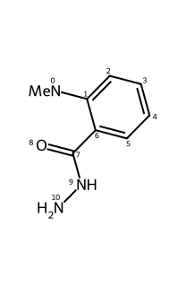 CNc1ccccc1C(=O)NN